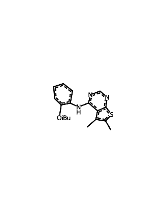 Cc1sc2ncnc(Nc3ccccc3OCC(C)C)c2c1C